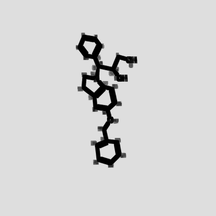 OC[C@@H](O)[C@H](c1ccccc1)N1CCc2cc(OCc3ccccc3)ccc21